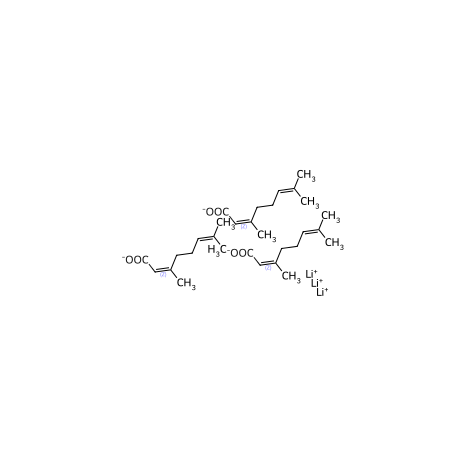 CC(C)=CCC/C(C)=C\C(=O)[O-].CC(C)=CCC/C(C)=C\C(=O)[O-].CC(C)=CCC/C(C)=C\C(=O)[O-].[Li+].[Li+].[Li+]